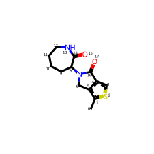 Cc1scc2c1CN(C1CCCCNC1=O)C2=O